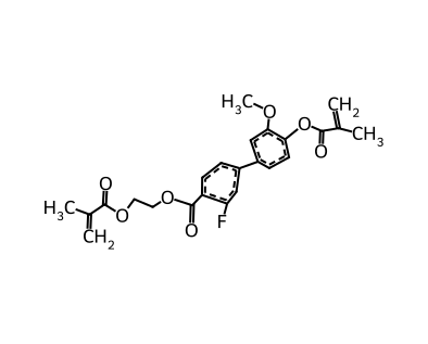 C=C(C)C(=O)OCCOC(=O)c1ccc(-c2ccc(OC(=O)C(=C)C)c(OC)c2)cc1F